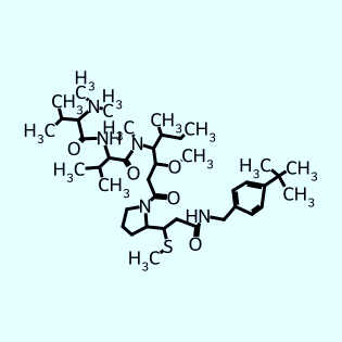 CCC(C)C(C(CC(=O)N1CCCC1C(CC(=O)NCc1ccc(C(C)(C)C)cc1)SC)OC)N(C)C(=O)C(NC(=O)C(C(C)C)N(C)C)C(C)C